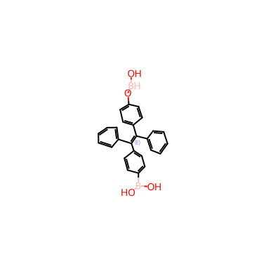 OBOc1ccc(/C(=C(\c2ccccc2)c2ccc(B(O)O)cc2)c2ccccc2)cc1